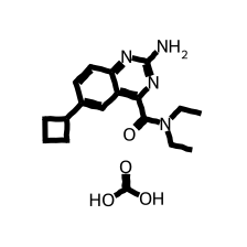 CCN(CC)C(=O)c1nc(N)nc2ccc(C3CCC3)cc12.O=C(O)O